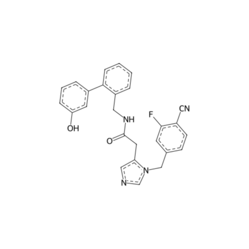 N#Cc1ccc(Cn2cncc2CC(=O)NCc2ccccc2-c2cccc(O)c2)cc1F